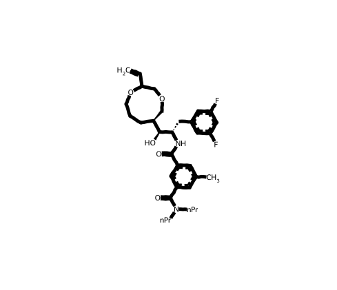 C=CC1COC[C@@H]([C@H](O)[C@H](Cc2cc(F)cc(F)c2)NC(=O)c2cc(C)cc(C(=O)N(CCC)CCC)c2)CCCO1